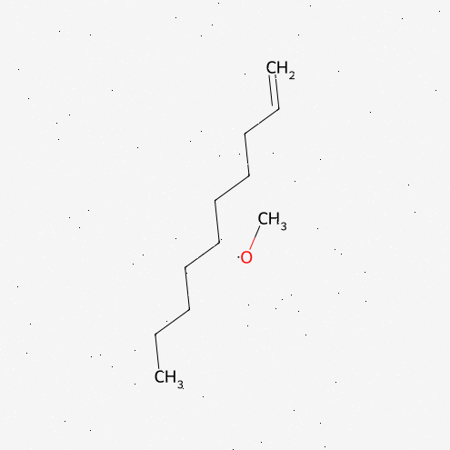 C=CCCCCCCCC.C[O]